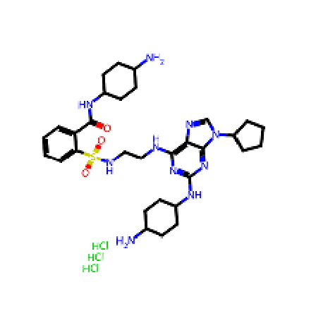 Cl.Cl.Cl.NC1CCC(NC(=O)c2ccccc2S(=O)(=O)NCCNc2nc(NC3CCC(N)CC3)nc3c2ncn3C2CCCC2)CC1